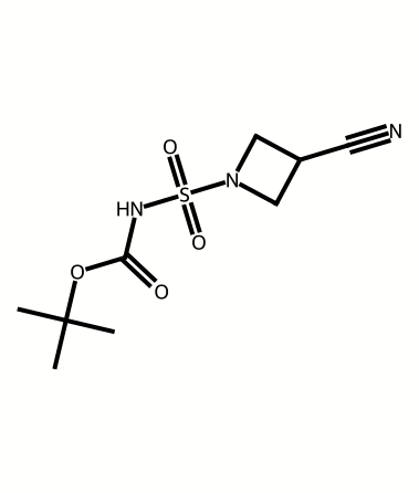 CC(C)(C)OC(=O)NS(=O)(=O)N1CC(C#N)C1